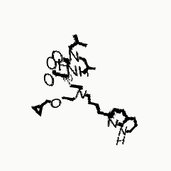 CC(C)CN(CC(C)C)C(=O)N[C@H](CCN(CCCCc1ccc2c(n1)NCCC2)CCOCC1CC1)C(=O)O